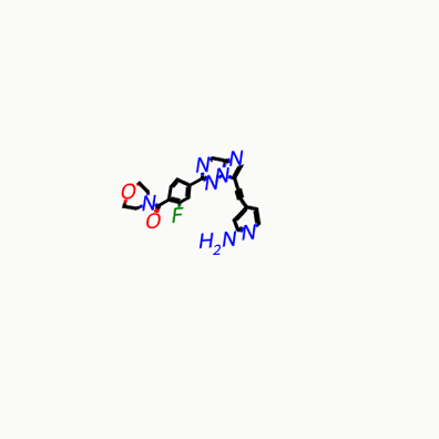 Nc1cc(C#Cc2cnc3cnc(-c4ccc(C(=O)N5CCOCC5)c(F)c4)nn23)ccn1